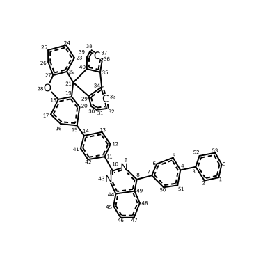 c1ccc(-c2ccc(-c3nc(-c4ccc(-c5ccc6c(c5)C5(c7ccccc7O6)c6ccccc6-c6ccccc65)cc4)nc4ccccc34)cc2)cc1